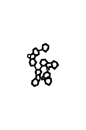 c1ccc(-c2ccc3oc4ccc(-c5cc6c7ccccc7n(-c7ccccc7)c6cc5-c5cccc6c7ccccc7n(-c7ccccc7)c56)cc4c3c2)cc1